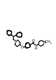 CN1CCC(NC(=O)c2ccc(OC3CCN(CC(c4ccccc4)c4ccccc4)CC3)cc2)CC1